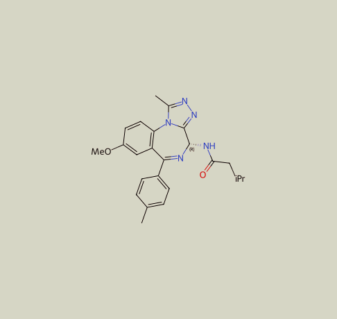 COc1ccc2c(c1)C(c1ccc(C)cc1)=N[C@@H](NC(=O)CC(C)C)c1nnc(C)n1-2